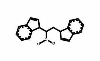 [Cl][Zr]([Cl])[CH](CC1C=Cc2ccccc21)C1C=Cc2ccccc21